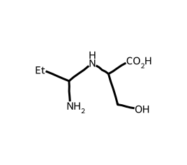 CCC(N)NC(CO)C(=O)O